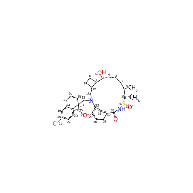 CC1CCCC(O)C2CCC2CN2CC3(CCCc4cc(Cl)ccc43)COc3ccc(cc32)C(=O)N[S+]([O-])[C@H]1C